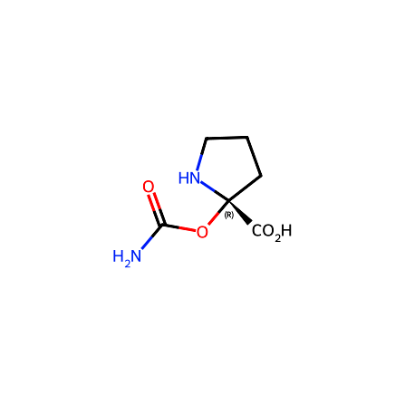 NC(=O)O[C@@]1(C(=O)O)CCCN1